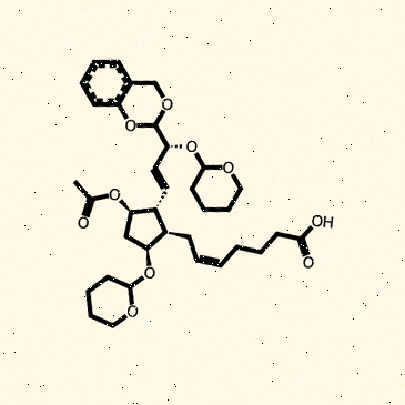 CC(=O)O[C@@H]1C[C@H](OC2CCCCO2)[C@H](C/C=C\CCCC(=O)O)[C@H]1/C=C/[C@@H](OC1CCCCO1)C1OCc2ccccc2O1